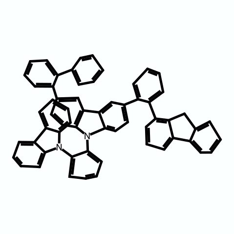 c1ccc(-c2ccccc2-c2ccc3c(c2)c2cc(-c4ccccc4-c4cccc5c4Cc4ccccc4-5)ccc2n3-c2ccccc2-n2c3ccccc3c3ccccc32)cc1